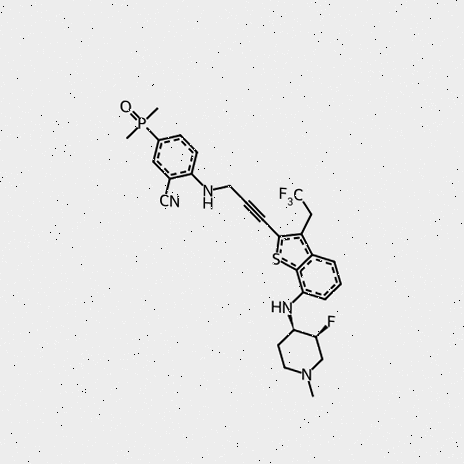 CN1CC[C@@H](Nc2cccc3c(CC(F)(F)F)c(C#CCNc4ccc(P(C)(C)=O)cc4C#N)sc23)[C@@H](F)C1